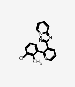 Cc1c(Cl)cccc1-c1ncccc1-c1nc2ccccn2n1